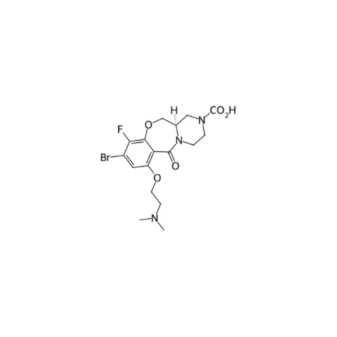 CN(C)CCOc1cc(Br)c(F)c2c1C(=O)N1CCN(C(=O)O)C[C@@H]1CO2